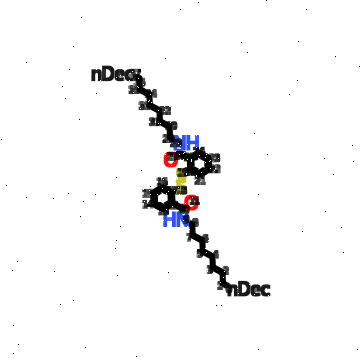 CCCCCCCCCCCCCCCCCCNC(=O)c1ccccc1SSc1ccccc1C(=O)NCCCCCCCCCCCCCCCCCC